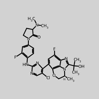 C[C@H]1COc2c(-c3nc(Nc4ccc(N5CCC(N(C)C)C5=O)cc4F)ncc3Cl)cc(F)c3nc(C(C)(C)O)n1c23